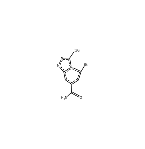 CCc1cc(C(N)=O)cc2nnc(C(C)(C)C)n12